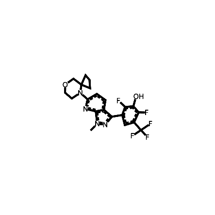 Cn1nc(-c2cc(C(F)(F)F)c(F)c(O)c2F)c2ccc(N3CCOCC34CCC4)nc21